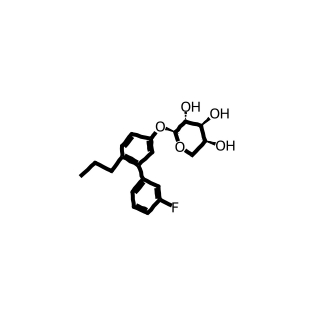 CCCc1ccc(O[C@@H]2OC[C@H](O)[C@H](O)[C@H]2O)cc1-c1cccc(F)c1